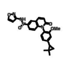 COc1cc(C2CC2(C)C)ccc1-n1c(=O)ccc2cc([S+]([O-])Nc3ccon3)ccc21